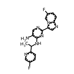 CC(Nc1nc(-c2cnc3ccc(F)cn23)ncc1N)c1ccc(F)cn1